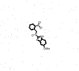 CCN(CC)c1ccccc1C[S+]([O-])c1nc2cc(OC)ccc2[nH]1